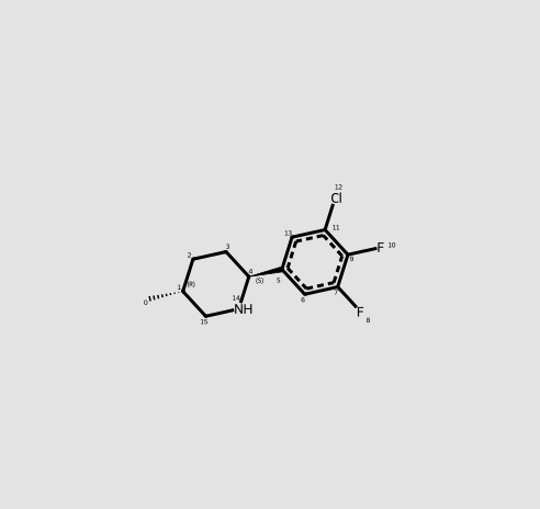 C[C@@H]1CC[C@@H](c2cc(F)c(F)c(Cl)c2)NC1